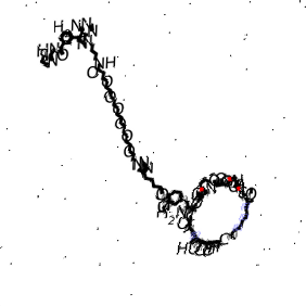 CO[C@H]1C[C@@H]2CC[C@@H](C)[C@@](O)(O2)C(=O)C(=O)N2CCCC[C@H]2C(=O)O[C@H]([C@H](N)C[C@@H]2CC[C@@H](OCCCCc3cn(CCOCCOCCOCCOCCOCCOCCC(=O)NCCCCn4nc(-c5cccc(C(=O)NC6=NCCS6)c5)c5c(N)ncnc54)nn3)[C@H](OC)C2)CC(=O)[C@H](C)/C=C(\C)[C@@H](O)[C@@H](O)C(=O)[C@H](C)C[C@H](C)/C=C/C=C/C=C/1C